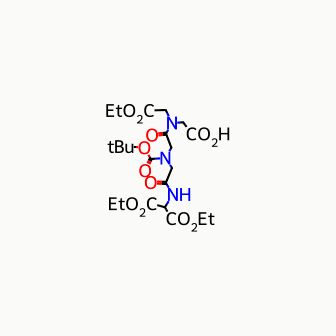 CCOC(=O)CN(CC(=O)O)C(=O)CN(CC(=O)NC(C(=O)OCC)C(=O)OCC)C(=O)OC(C)(C)C